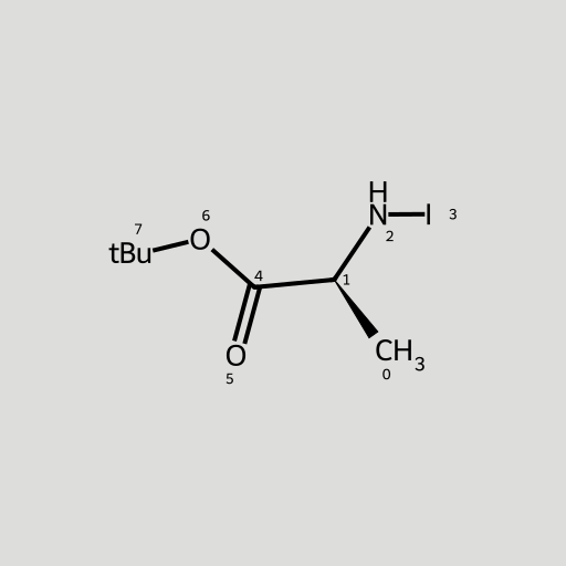 C[C@H](NI)C(=O)OC(C)(C)C